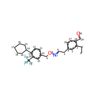 CCc1cc(CC=NOCc2ccc(C3CCCCC3)c(C(F)(F)F)c2)ccc1C=O